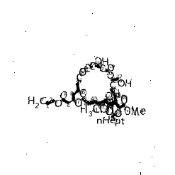 C=CCOC(=O)C[C@H]1CC2CCOCC[C@@H](O)CC(=O)OC(CO)C[C@@H]3C/C(=C\C(=O)OC)[C@H](OC(=O)CCCCCCC)[C@@](O)(O3)C(C)(C)/C=C/C(O2)O1